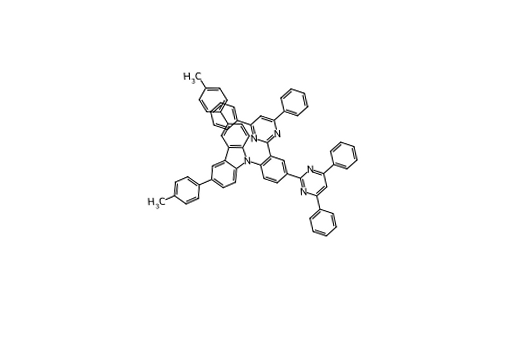 Cc1ccc(-c2ccc3c(c2)c2cc(-c4ccc(C)cc4)ccc2n3-c2ccc(-c3nc(-c4ccccc4)cc(-c4ccccc4)n3)cc2-c2nc(-c3ccccc3)cc(-c3ccccc3)n2)cc1